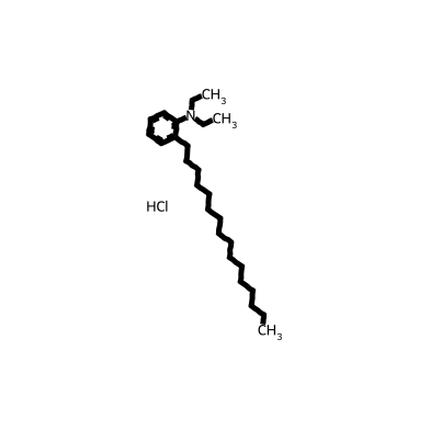 CCCCCCCCCCCCCCCCc1ccccc1N(CC)CC.Cl